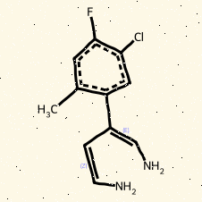 Cc1cc(F)c(Cl)cc1C(/C=C\N)=C/N